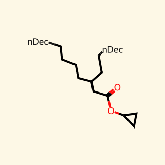 CCCCCCCCCCCCCCC(CCCCCCCCCCCC)CC(=O)OC1CC1